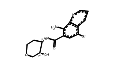 Nc1c(C(=O)N[C@H]2CCOC[C@@H]2O)cc(Br)c2cccnc12